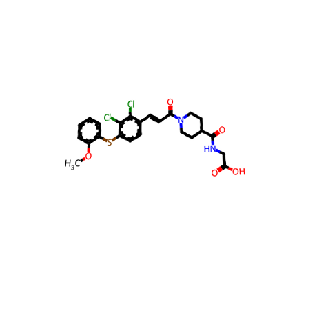 COc1ccccc1Sc1ccc(C=CC(=O)N2CCC(C(=O)NCC(=O)O)CC2)c(Cl)c1Cl